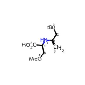 C=C(CC(C)(C)C)NC(COC)C(=O)O